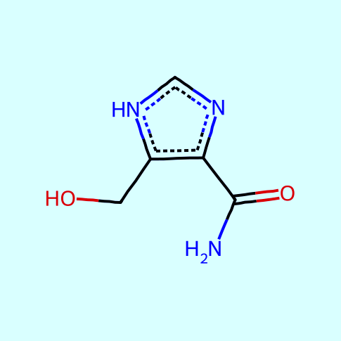 NC(=O)c1nc[nH]c1CO